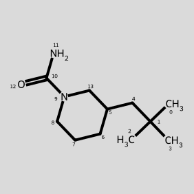 CC(C)(C)CC1CCCN(C(N)=O)C1